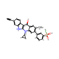 C#Cc1ccc2c(c1)[nH]c1c2c(=O)c2cc(OCC(C)C)c(-c3cccc(S(=O)(=O)F)c3)cc2n1C1CC1